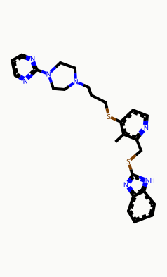 Cc1c(SCCCN2CCN(c3ncccn3)CC2)ccnc1CSc1nc2ccccc2[nH]1